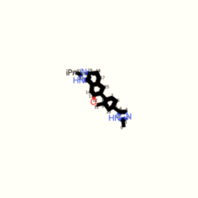 Cc1ncc(-c2ccc3c(c2)COc2cc4c(ccc5nc(C(C)C)[nH]c54)cc2-3)[nH]1